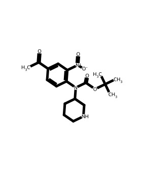 CC(=O)c1ccc(N(C(=O)OC(C)(C)C)C2CCCNC2)c([N+](=O)[O-])c1